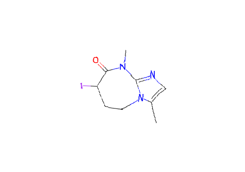 Cc1cnc2n1CCC(I)C(=O)N2C